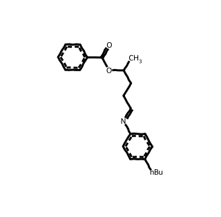 CCCCc1ccc(N=CCCC(C)OC(=O)c2ccccc2)cc1